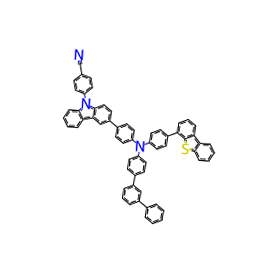 N#Cc1ccc(-n2c3ccccc3c3cc(-c4ccc(N(c5ccc(-c6cccc(-c7ccccc7)c6)cc5)c5ccc(-c6cccc7c6sc6ccccc67)cc5)cc4)ccc32)cc1